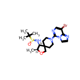 C[C@@H]1OCC2(CCN(c3ncc(Br)c4nccn34)CC2)[C@@H]1N[S+]([O-])C(C)(C)C